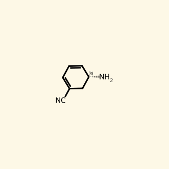 N#CC1=CC=C[C@H](N)C1